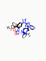 Cn1cc([N+]23C=CN=CC2=NC(Nc2ccc4c(c2)NC(=O)OC4(C)C)=N3)cn1